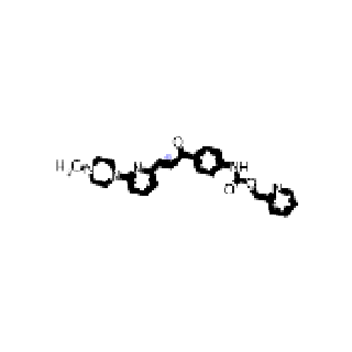 CN1CCN(c2cccc(/C=C/C(=O)c3ccc(NC(=O)OCc4ccccn4)cc3)n2)CC1